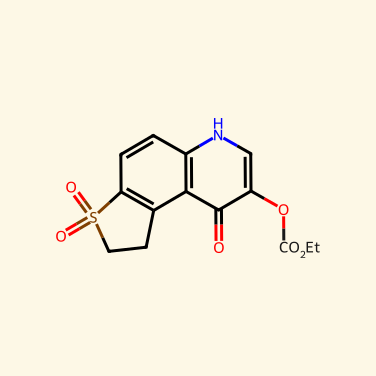 CCOC(=O)Oc1c[nH]c2ccc3c(c2c1=O)CCS3(=O)=O